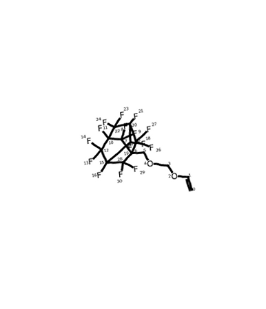 C=COCOCC12C(F)(F)C3(F)C(F)(F)C(F)(C(F)(F)C(F)(C3(F)F)C1(F)F)C2(F)F